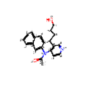 CCC(=O)N(c1ccc2ccccc2c1)c1ccncc1CCCCO